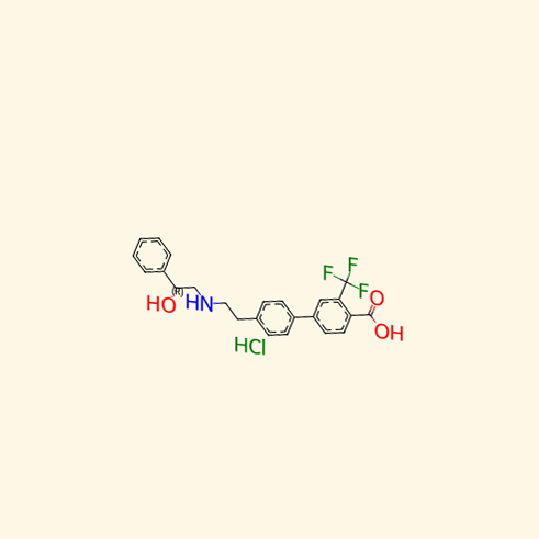 Cl.O=C(O)c1ccc(-c2ccc(CCNC[C@H](O)c3ccccc3)cc2)cc1C(F)(F)F